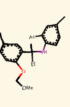 CCC(C)(Pc1ccc(C)cc1C(C)=O)c1cc(C)ccc1OCOC